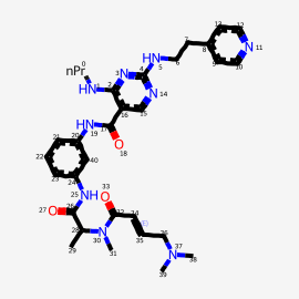 CCCNc1nc(NCCc2ccncc2)ncc1C(=O)Nc1cccc(NC(=O)C(C)N(C)C(=O)/C=C/CN(C)C)c1